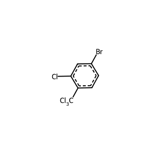 Clc1cc(Br)ccc1C(Cl)(Cl)Cl